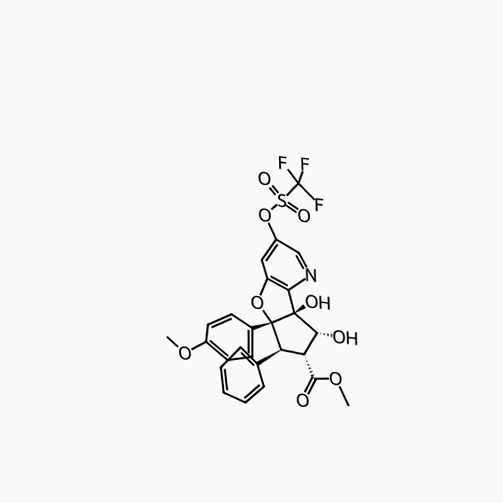 COC(=O)[C@H]1[C@@H](O)[C@@]2(O)c3ncc(OS(=O)(=O)C(F)(F)F)cc3O[C@@]2(c2ccc(OC)cc2)[C@@H]1c1ccccc1